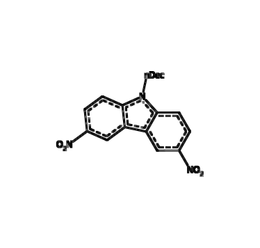 CCCCCCCCCCn1c2ccc([N+](=O)[O-])cc2c2cc([N+](=O)[O-])ccc21